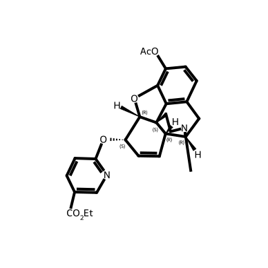 CCOC(=O)c1ccc(O[C@H]2C=C[C@H]3[C@H]4Cc5ccc(OC(C)=O)c6c5[C@@]3(CCN4C)[C@H]2O6)nc1